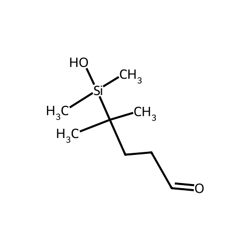 CC(C)(CCC=O)[Si](C)(C)O